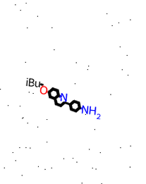 CCC(C)COc1ccc2nc(-c3ccc(N)cc3)ccc2c1